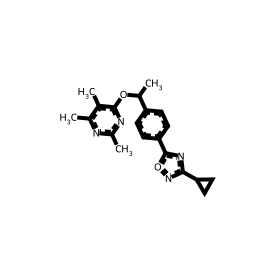 Cc1nc(C)c(C)c(OC(C)c2ccc(-c3nc(C4CC4)no3)cc2)n1